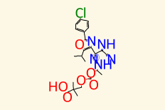 CC(N/N=C(\C(=N)C#N)c1nc(-c2ccc(Cl)cc2)oc1C(C)C)OC(=O)OCC(C)(C)C(=O)O